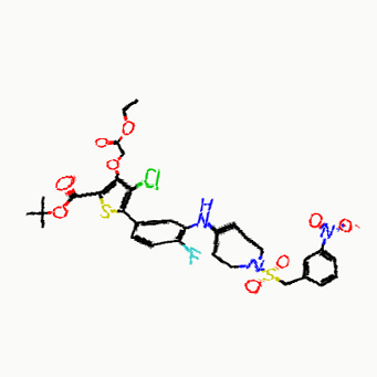 CCOC(=O)COc1c(C(=O)OC(C)(C)C)sc(-c2ccc(F)c(NC3CCN(S(=O)(=O)Cc4cccc([N+](=O)[O-])c4)CC3)c2)c1Cl